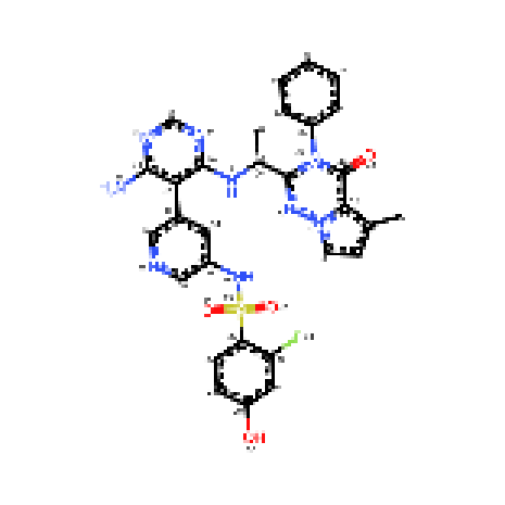 Cc1ccn2nc([C@H](C)Nc3ncnc(N)c3-c3cncc(NS(=O)(=O)c4ccc(O)cc4F)c3)n(-c3ccccc3)c(=O)c12